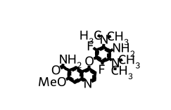 COc1cc2nccc(Oc3c(F)c(N(C)C)c(N)c(N(C)C)c3F)c2cc1C(N)=O